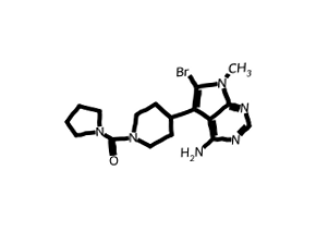 Cn1c(Br)c(C2CCN(C(=O)N3CCCC3)CC2)c2c(N)ncnc21